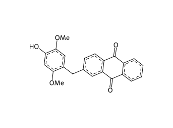 COc1cc(Cc2ccc3c(c2)C(=O)c2ccccc2C3=O)c(OC)cc1O